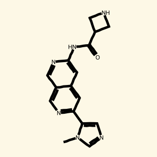 Cn1cncc1-c1cc2cc(NC(=O)C3CNC3)ncc2cn1